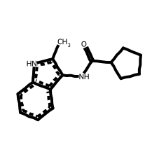 Cc1[nH]c2ccccc2c1NC(=O)C1CCCC1